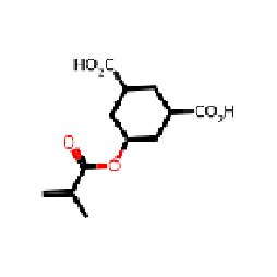 C=C(C)C(=O)OC1CC(C(=O)O)CC(C(=O)O)C1